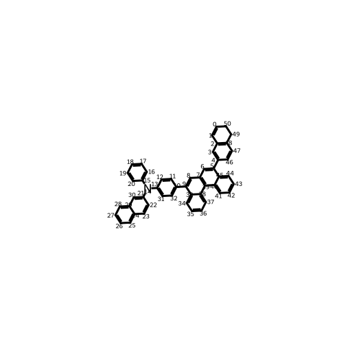 C1=Cc2cc(-c3cc4cc(-c5ccc(N(c6ccccc6)c6ccc7ccccc7c6)cc5)c5ccccc5c4c4ccccc34)ccc2CC1